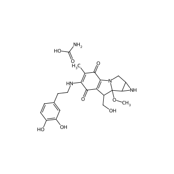 COC12C(CO)C3=C(C(=O)C(C)=C(NCCc4ccc(O)c(O)c4)C3=O)N1CC1NC12.NC(=O)O